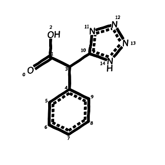 O=C(O)C(c1ccccc1)c1nnn[nH]1